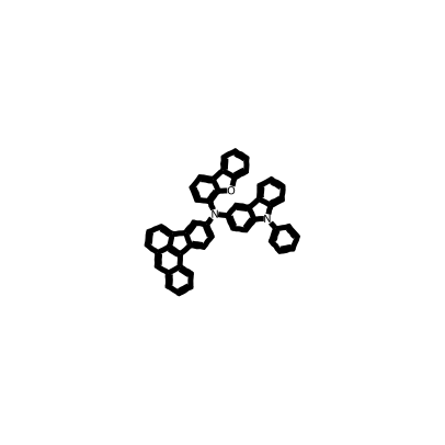 c1ccc(-n2c3ccccc3c3cc(N(c4ccc5c(c4)-c4cccc6cc7ccccc7c-5c46)c4cccc5c4oc4ccccc45)ccc32)cc1